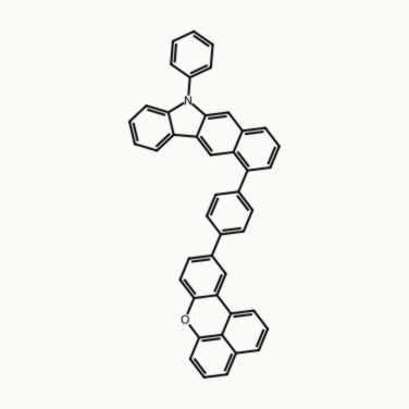 c1ccc(-n2c3ccccc3c3cc4c(-c5ccc(-c6ccc7c(c6)-c6cccc8cccc(c68)O7)cc5)cccc4cc32)cc1